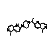 [CH2]C(c1ccc2c(C)nccc2n1)N1CCN(c2ccc3c(C)nccc3n2)CC1